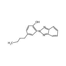 CCCCc1ccc(O)c(-n2nc3ccccc3n2)c1